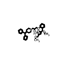 COCc1cc(C(OC)c2ccccc2OCC(O)CN2CCC(=C(c3ccccc3)c3ccccc3)CC2)on1